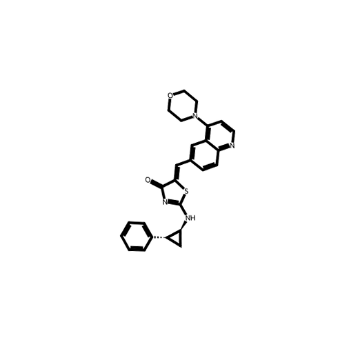 O=C1N=C(N[C@H]2C[C@@H]2c2ccccc2)S/C1=C\c1ccc2nccc(N3CCOCC3)c2c1